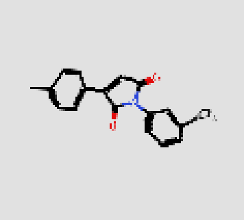 Cc1ccc(C2=CC(=O)N(c3cccc(C(F)(F)F)c3)C2=O)cc1